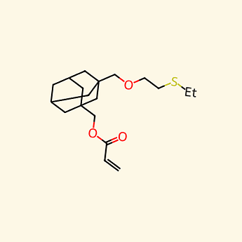 C=CC(=O)OCC12CC3CC(CC(COCCSCC)(C3)C1)C2